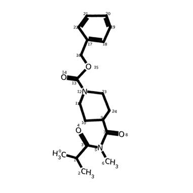 CC(C)C(=O)N(C)C(=O)C1CCN(C(=O)OCc2ccccc2)CC1